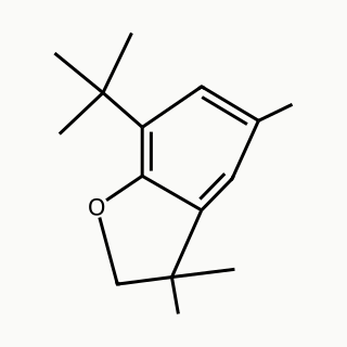 Cc1cc(C(C)(C)C)c2c(c1)C(C)(C)CO2